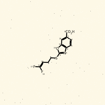 O=C(O)c1ccc2nc(SCCC=C(F)F)oc2c1